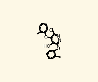 Cc1ccccc1Oc1nnc(Cl)c(Oc2ccccc2C)c1O